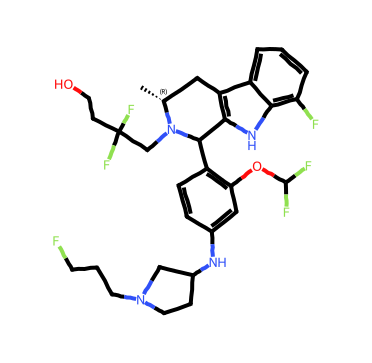 C[C@@H]1Cc2c([nH]c3c(F)cccc23)C(c2ccc(NC3CCN(CCCF)C3)cc2OC(F)F)N1CC(F)(F)CCO